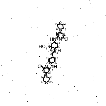 O=S(=O)(O)C1(S(=O)(=O)O)CC(Nc2nc(Cl)nc(N3CCOCC3)n2)=CC=C1C=Cc1ccc(Nc2nc(Cl)nc(N3CCOCC3)n2)cc1